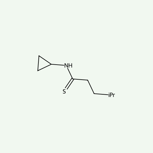 CC(C)CCC(=S)NC1CC1